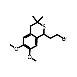 COc1cc2c(cc1OC)C(CCBr)SC(C)(C)C2